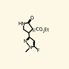 CCOC(=O)[C@H]1C(=O)NCC1c1cc(F)n(C)n1